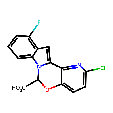 O=C(O)C1Oc2ccc(Cl)nc2-c2cc3c(F)cccc3n21